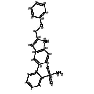 NS(=O)(=O)c1ccccc1-c1ccc2[nH]c(COc3ccccc3)nc2c1